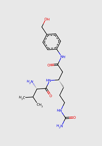 CC(C)[C@H](N)C(=O)N[C@@H](CCCNC(N)=O)CC(=O)Nc1ccc(CO)cc1